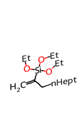 C=C(CCCCCCCC)[Si](OCC)(OCC)OCC